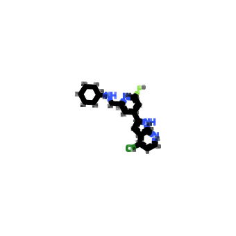 Fc1cc(-c2cc3c(Cl)ccnc3[nH]2)cc(CNC2CCCCC2)n1